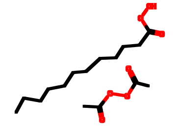 CC(=O)OOC(C)=O.CCCCCCCCCCCC(=O)OO